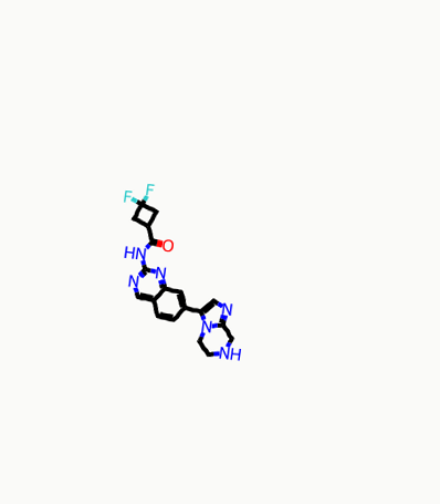 O=C(Nc1ncc2ccc(-c3cnc4n3CCNC4)cc2n1)C1CC(F)(F)C1